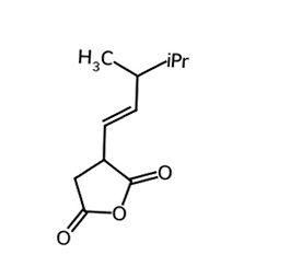 CC(C)C(C)C=CC1CC(=O)OC1=O